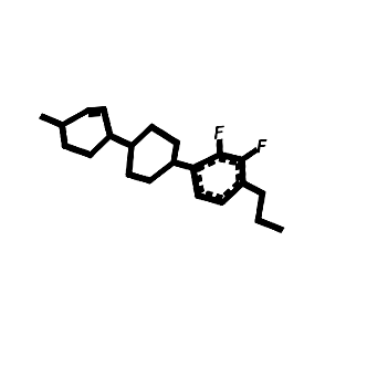 CCCc1ccc(C2CCC(C3C=CC(C)CC3)CC2)c(F)c1F